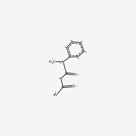 CC(C)C(=O)CC(=O)N(C)c1ccccc1